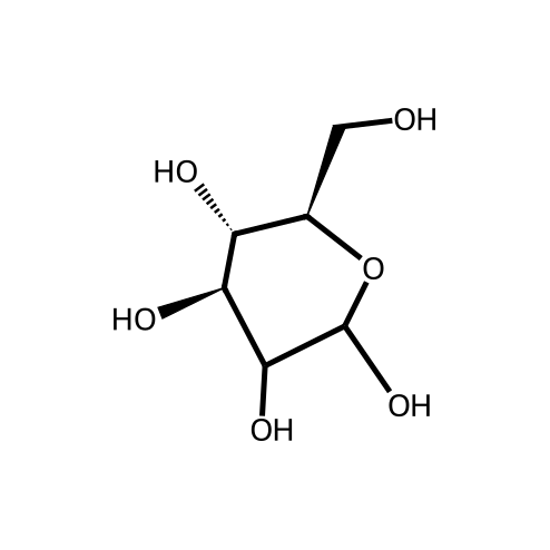 OC[C@H]1OC(O)C(O)[C@@H](O)[C@@H]1O